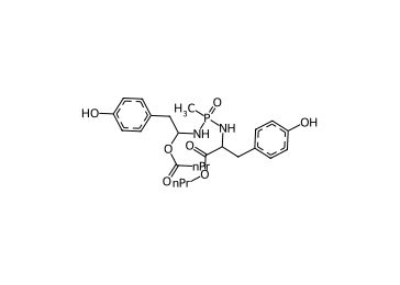 CCCOC(=O)C(Cc1ccc(O)cc1)NP(C)(=O)NC(Cc1ccc(O)cc1)OC(=O)CCC